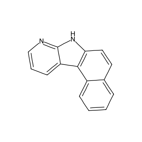 c1ccc2c(c1)ccc1[nH]c3ncccc3c12